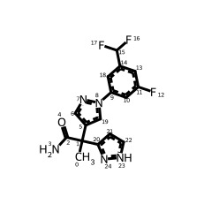 CC(C(N)=O)(c1cnn(-c2cc(F)cc(C(F)F)c2)c1)c1cc[nH]n1